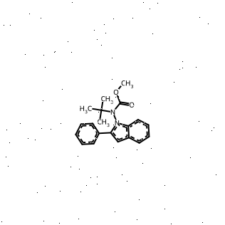 COC(=O)N(n1c(-c2ccccc2)cc2ccccc21)C(C)(C)C